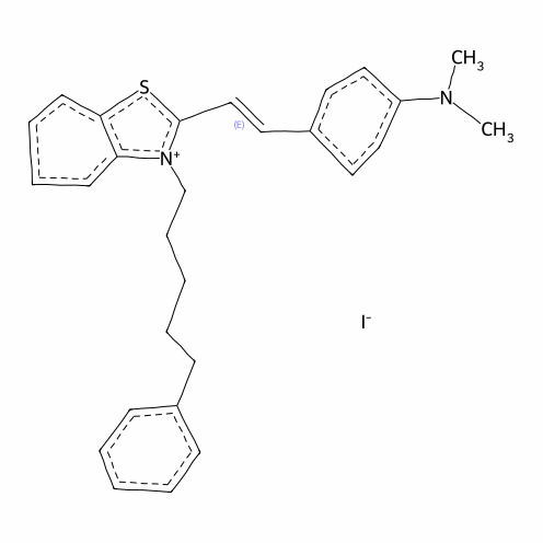 CN(C)c1ccc(/C=C/c2sc3ccccc3[n+]2CCCCCc2ccccc2)cc1.[I-]